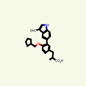 CC(Cc1ccc(OCC2CCCC2)c(-c2ccc3[nH]cc(C=O)c3c2)c1)C(=O)O